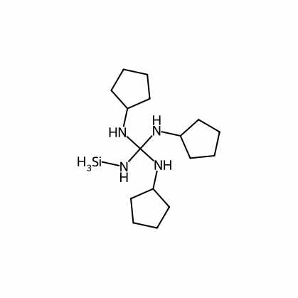 [SiH3]NC(NC1CCCC1)(NC1CCCC1)NC1CCCC1